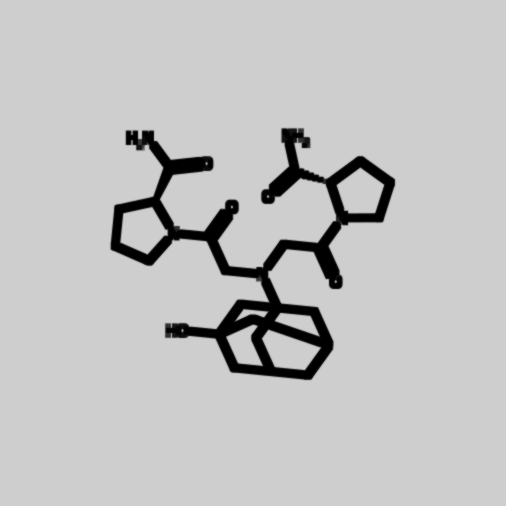 NC(=O)[C@@H]1CCCN1C(=O)CN(CC(=O)N1CCC[C@H]1C(N)=O)C12CC3CC(CC(O)(C3)C1)C2